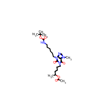 CC(=O)OC(C)CCCCn1c(=O)c2c(ncn2C)n(CCCCCCNC(=O)OC(C)(C)C)c1=O